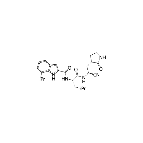 CC(C)C[C@H](NC(=O)c1cc2cccc(C(C)C)c2[nH]1)C(=O)N[C@H](C#N)C[C@@H]1CCNC1=O